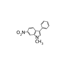 Cn1cc(-c2ccccc2)c2ccc([N+](=O)[O-])cc21